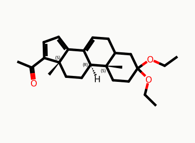 CCOC1(OCC)CC[C@@]2(C)C(CC=C3C4=CC=C(C(C)=O)[C@@]4(C)CC[C@@H]32)C1